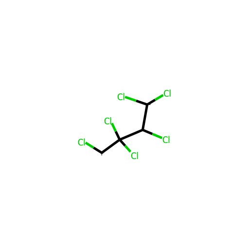 Cl[CH]C(Cl)(Cl)C(Cl)[C](Cl)Cl